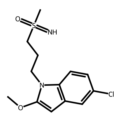 COc1cc2cc(Cl)ccc2n1CCCS(C)(=N)=O